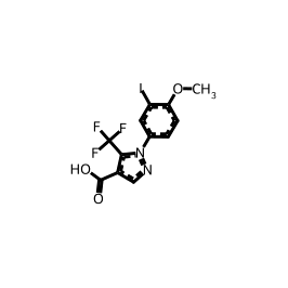 COc1ccc(-n2ncc(C(=O)O)c2C(F)(F)F)cc1I